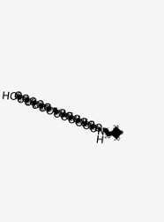 OOOOOOOOOOOCOOOOOOOOOOOONCCC1C=CC1